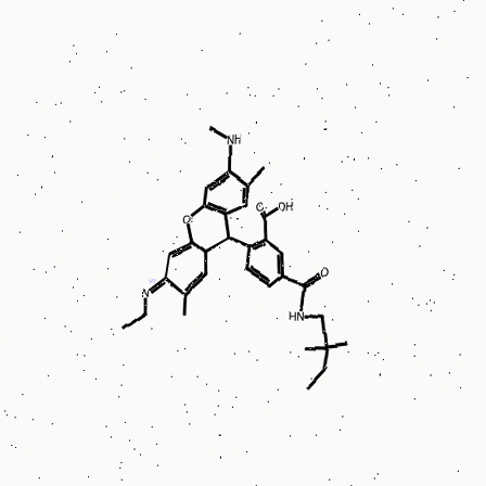 CC/N=C1/C=C2Oc3cc(NC)c(C)cc3C(c3ccc(C(=O)NCC(C)(C)CC)cc3C(=O)O)C2C=C1C